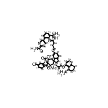 COC(=O)C1(N(C(=O)C(F)(F)F)c2cccc(Cl)c2)CCC2(CC1)c1cc(OCCCC(=O)N[C@H](C)c3cccc(-c4cnc(C(N)=O)nc4)c3)ccc1C[C@@H]2C[C@@H](C)COc1ccnc2c1[C@H](C)CCC2